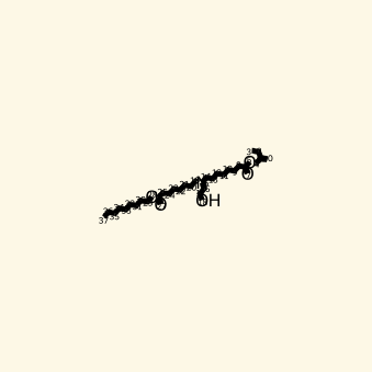 C=C(CC)COC(=O)CCCCCCCN(CCO)CCCCCCCC(=O)OCCCCCCCCC